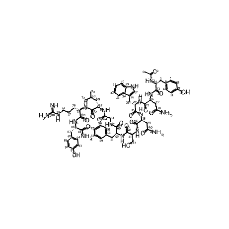 CC(=O)N[C@@H](Cc1ccc(O)cc1)C(=O)N[C@@H](CC(N)=O)C(=O)N[C@@H](Cc1c[nH]c2ccccc12)C(=O)N[C@@H](CC(N)=O)C(=O)N[C@@H](CO)C(=O)N[C@@H](Cc1ccccc1)C(=O)NCC(=O)N[C@@H](CC(C)C)C(=O)N[C@@H](CCCNC(=N)N)C(=O)N[C@@H](Cc1ccc(O)cc1)C(N)=O